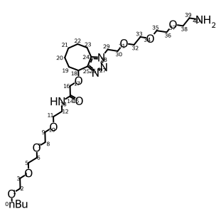 CCCCOCCOCCOCCOCCNC(=O)COC1CCCCCc2c1nnn2CCOCCOCCOCCN